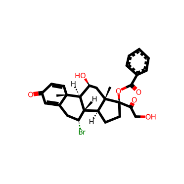 C[C@]12C=CC(=O)C=C1C[C@@H](Br)[C@@H]1[C@@H]2[C@@H](O)C[C@@]2(C)[C@H]1CC[C@@]2(OC(=O)c1ccccc1)C(=O)CO